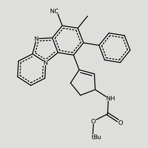 Cc1c(-c2ccccc2)c(C2=CC(NC(=O)OC(C)(C)C)CC2)c2c(nc3ccccn32)c1C#N